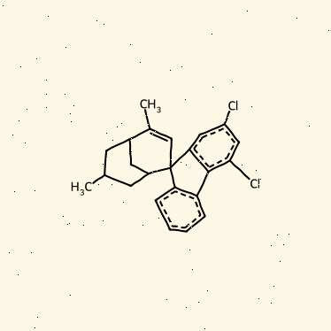 CC1=CC2(c3ccccc3-c3c(Cl)cc(Cl)cc32)C2CC(C)CC1C2